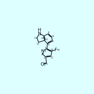 O=Cc1cnc(-c2cccc3c2CCN3)c(F)c1